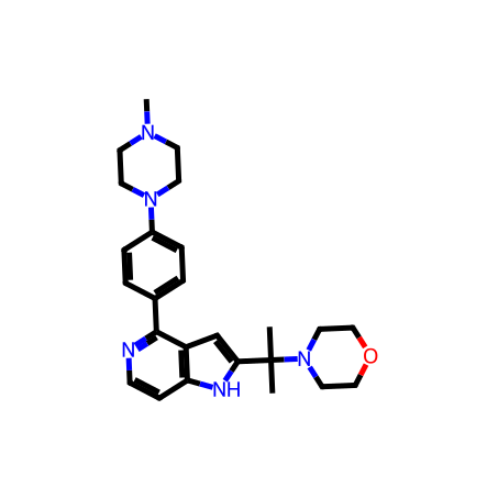 CN1CCN(c2ccc(-c3nccc4[nH]c(C(C)(C)N5CCOCC5)cc34)cc2)CC1